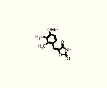 COc1ccc(C=C2OC(=O)NC2=O)c(C)c1C